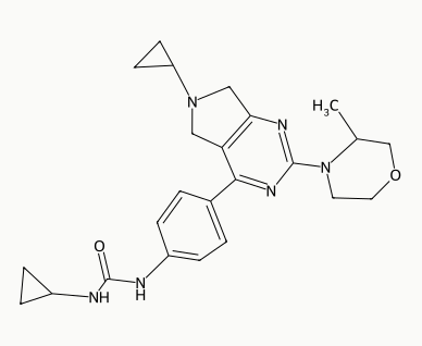 CC1COCCN1c1nc2c(c(-c3ccc(NC(=O)NC4CC4)cc3)n1)CN(C1CC1)C2